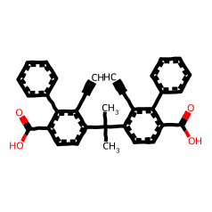 C#Cc1c(C(C)(C)c2ccc(C(=O)O)c(-c3ccccc3)c2C#C)ccc(C(=O)O)c1-c1ccccc1